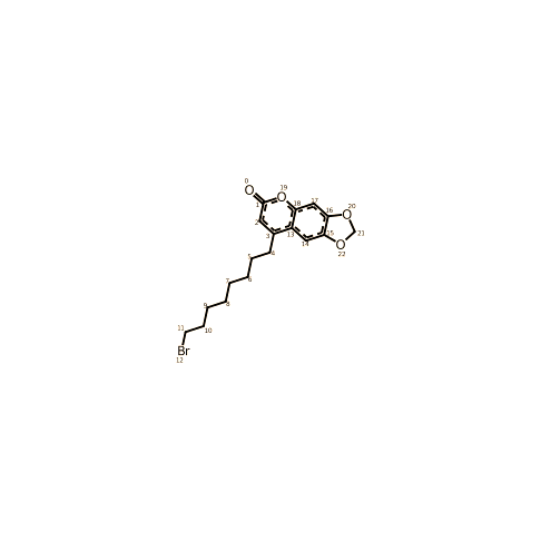 O=c1cc(CCCCCCCCBr)c2cc3c(cc2o1)OCO3